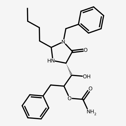 CCCCC1N[C@@H](C(O)C(Cc2ccccc2)OC(N)=O)C(=O)N1Cc1ccccc1